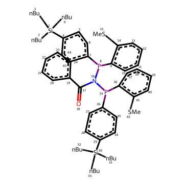 CCCC[Si](CCCC)(CCCC)c1ccc(P(c2ccccc2SC)N(C(=O)c2ccccc2)P(c2ccc([Si](CCCC)(CCCC)CCCC)cc2)c2ccccc2SC)cc1